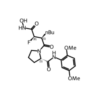 CCCC[C@@H](C(=O)N1CCC[C@H]1C(=O)Nc1cc(OC)ccc1OC)[C@@H](F)C(=O)NO